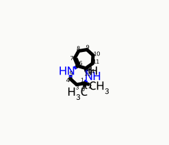 CC1(C)CCNC2=CCCCC[C@H]2N1